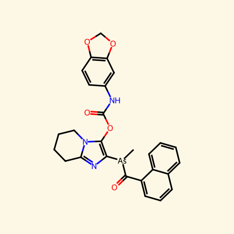 C[As](C(=O)c1cccc2ccccc12)c1nc2n(c1OC(=O)Nc1ccc3c(c1)OCO3)CCCC2